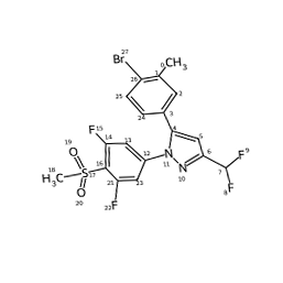 Cc1cc(-c2cc(C(F)F)nn2-c2cc(F)c(S(C)(=O)=O)c(F)c2)ccc1Br